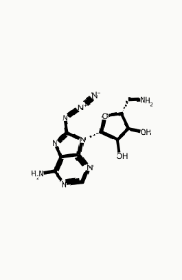 [N-]=[N+]=Nc1nc2c(N)ncnc2n1[C@@H]1O[C@H](CN)C(O)C1O